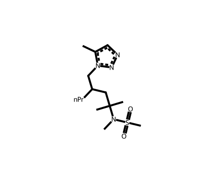 CCCC(Cn1nncc1C)CC(C)(C)N(C)S(C)(=O)=O